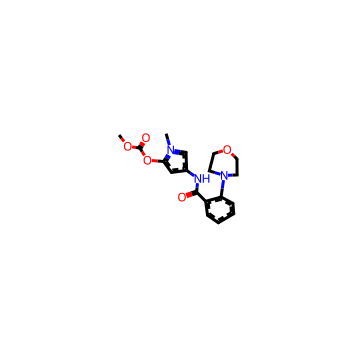 COC(=O)Oc1cc(NC(=O)c2ccccc2N2CCOCC2)cn1C